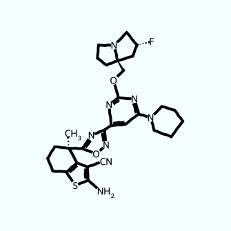 C[C@@]1(c2nc(-c3cc(N4CCCCC4)nc(OC[C@@]45CCCN4C[C@H](F)C5)n3)no2)CCCc2sc(N)c(C#N)c21